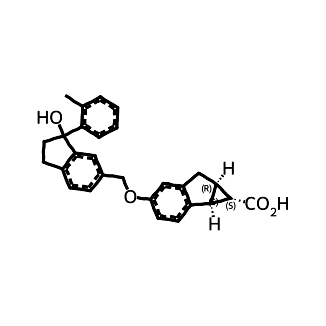 Cc1ccccc1C1(O)CCc2ccc(COc3ccc4c(c3)C[C@H]3[C@H](C(=O)O)[C@@H]43)cc21